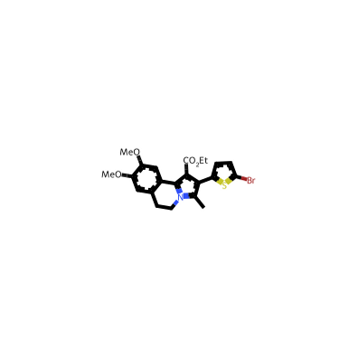 CCOC(=O)c1c(-c2ccc(Br)s2)c(C)n2c1-c1cc(OC)c(OC)cc1CC2